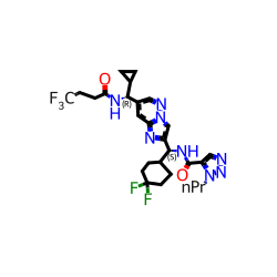 CCCn1nncc1C(=O)N[C@H](c1cn2ncc([C@H](NC(=O)CCC(F)(F)F)C3CC3)cc2n1)C1CCC(F)(F)CC1